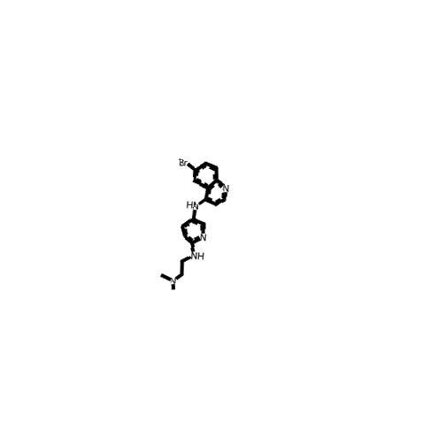 CN(C)CCNc1ccc(Nc2[c]cnc3ccc(Br)cc23)cn1